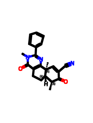 C[C@@H]1C(=O)C(C#N)=C[C@]2(C)c3nc(-c4ccccc4)n(C)c(=O)c3CC[C@@H]12